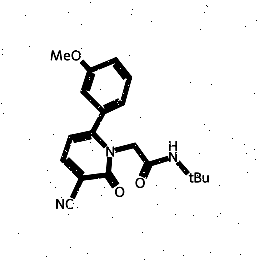 COc1cccc(-c2ccc(C#N)c(=O)n2CC(=O)NC(C)(C)C)c1